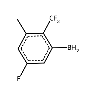 Bc1cc(F)cc(C)c1C(F)(F)F